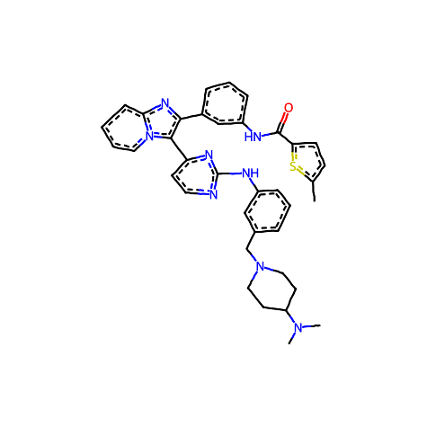 Cc1ccc(C(=O)Nc2cccc(-c3nc4ccccn4c3-c3ccnc(Nc4cccc(CN5CCC(N(C)C)CC5)c4)n3)c2)s1